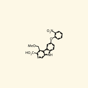 COCc1c(C(=O)O)ncc2[nH]c3ccc(Oc4ccccc4[N+](=O)[O-])cc3c12